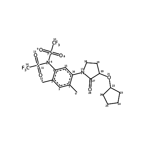 Cc1cc(C)c(N(S(=O)(=O)C(F)(F)F)S(=O)(=O)C(F)(F)F)cc1N1CCC(OC2CCCC2)C1=O